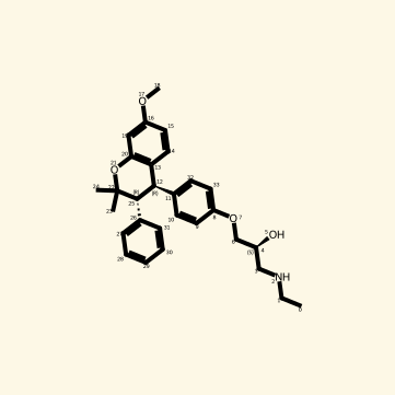 CCNC[C@H](O)COc1ccc([C@@H]2c3ccc(OC)cc3OC(C)(C)[C@H]2c2ccccc2)cc1